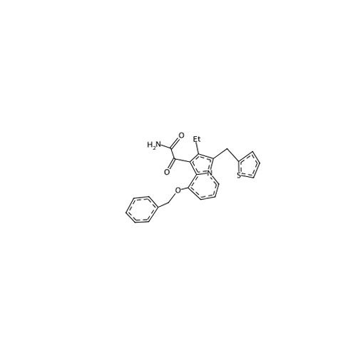 CCc1c(C(=O)C(N)=O)c2c(OCc3ccccc3)cccn2c1Cc1cccs1